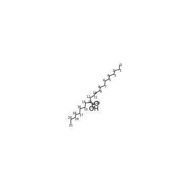 CCCCCCCCCCCCCC(CCCCCCCC)C(=O)O